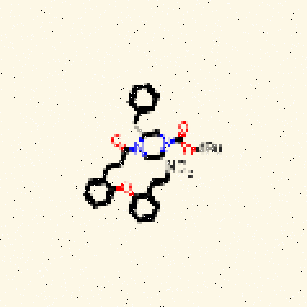 CC(C)(C)OC(=O)N1CCN(C(=O)CCc2ccccc2Oc2ccccc2/C=C/[N+](=O)[O-])[C@H](Cc2ccccc2)C1